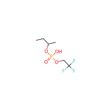 CCC(C)OP(=O)(O)OCC(F)(F)F